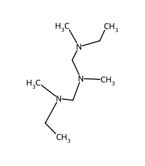 CCN(C)CN(C)CN(C)CC